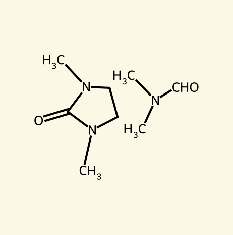 CN(C)C=O.CN1CCN(C)C1=O